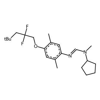 Cc1cc(OCC(F)(F)CC(C)(C)C)c(C)cc1/N=C/N(C)C1CCCC1